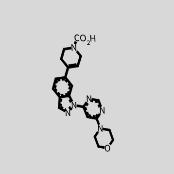 O=C(O)N1CC=C(c2ccc3cnn(-c4cc(N5CCOCC5)ncn4)c3c2)CC1